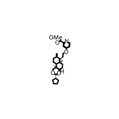 C=C1CCC2[C@]3(C)CO[C@@H](C4CCCC4)O[C@@H]3CC[C@@]2(C)[C@@H]1CCOc1ccnc(C(=O)OC)c1